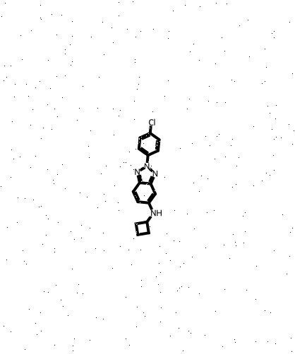 Clc1ccc(-n2nc3ccc(NC4CCC4)cc3n2)cc1